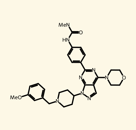 CNC(=O)Nc1ccc(-c2nc(N3CCOCC3)c3cnn(C4CCN(Cc5cccc(OC)c5)CC4)c3n2)cc1